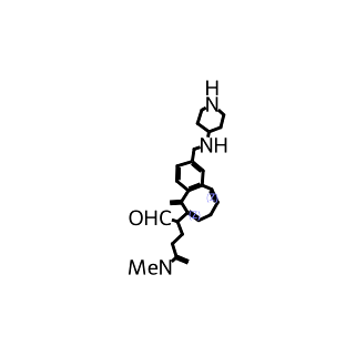 C=C(CCC(C=O)/C1=C/C/C=C\c2cc(CNC3CCNCC3)ccc2C1=C)NC